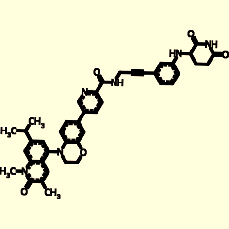 Cc1cc2c(N3CCOc4cc(-c5ccc(C(=O)NCC#Cc6cccc(NC7CCC(=O)NC7=O)c6)nc5)ccc43)cc(C(C)C)cc2n(C)c1=O